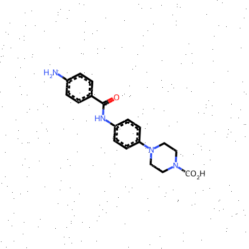 Nc1ccc(C(=O)Nc2ccc(N3CCN(C(=O)O)CC3)cc2)cc1